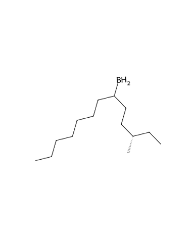 BC(CCCCCCC)CC[C@@H](C)CC